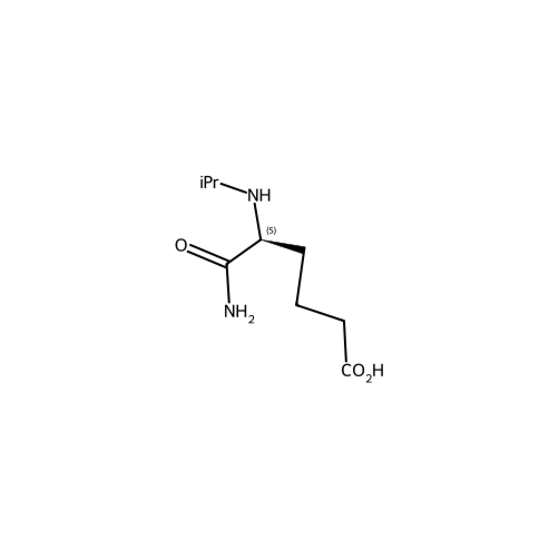 CC(C)N[C@@H](CCCC(=O)O)C(N)=O